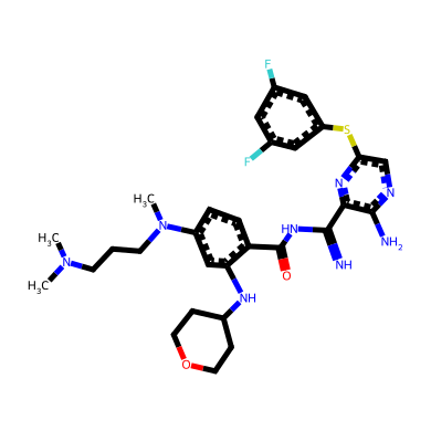 CN(C)CCCN(C)c1ccc(C(=O)NC(=N)c2nc(Sc3cc(F)cc(F)c3)cnc2N)c(NC2CCOCC2)c1